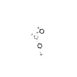 O=C(O)[C@@H]1C[C@@H](S(=O)(=O)c2ccc(OCC(F)(F)F)cc2Cl)CN1C(=O)c1ccccc1C(F)(F)F